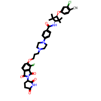 CC1(C)[C@H](NC(=O)c2ccc(N3CCN(CCCOc4ccc5c(c4F)C(=O)N(C4CCC(=O)NC4=O)C5=O)CC3)cc2)C(C)(C)[C@H]1Oc1ccc(C#N)c(Cl)c1